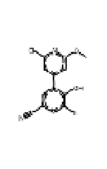 COc1cc(-c2cc(C#N)cc(Br)c2O)cc(Cl)n1